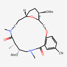 CO[C@H]1CN(C)C(=O)c2cc(C#N)ccc2OC[C@H]2O[C@@H](CC[C@H]2OC)CCN(C)C(=O)[C@H]1C